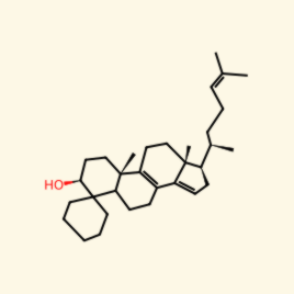 CC(C)=CCC[C@@H](C)[C@H]1CC=C2C3=C(CC[C@@]21C)[C@@]1(C)CC[C@H](O)C2(CCCCC2)C1CC3